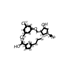 N#C[C@@H]1C[C@@H](O)[C@H](COc2cc(Cl)cc(Cl)c2)[C@H]1CCCc1ccc(C(=O)O)s1